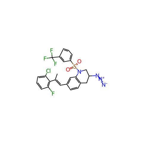 CC(=Cc1ccc2c(c1)N(S(=O)(=O)c1cccc(C(F)(F)F)c1)CC(N=[N+]=[N-])C2)c1c(F)cccc1Cl